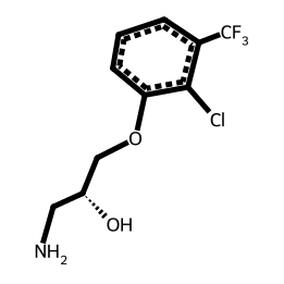 NC[C@@H](O)COc1cccc(C(F)(F)F)c1Cl